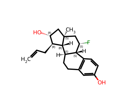 C=CC[C@@H]1[C@H]2[C@@H]3CCc4cc(O)ccc4[C@H]3[C@@H](F)C[C@]2(C)C[C@H]1O